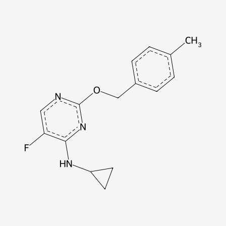 Cc1ccc(COc2ncc(F)c(NC3CC3)n2)cc1